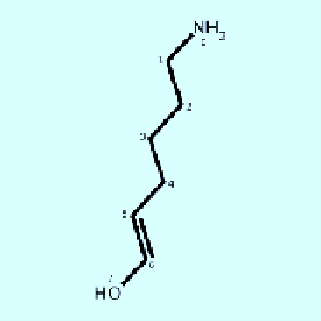 NCCCCC=CO